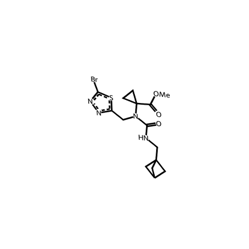 COC(=O)C1(N(Cc2nnc(Br)s2)C(=O)NCC23CC(C2)C3)CC1